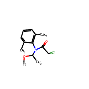 CCOC(C)N(C(=O)CCl)c1c(C)cccc1OC